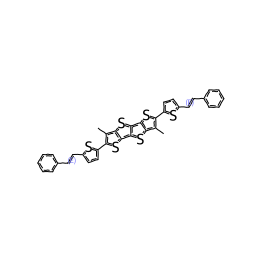 Cc1c(-c2ccc(/C=C/c3ccccc3)s2)sc2c1sc1c3sc(-c4ccc(/C=C/c5ccccc5)s4)c(C)c3sc21